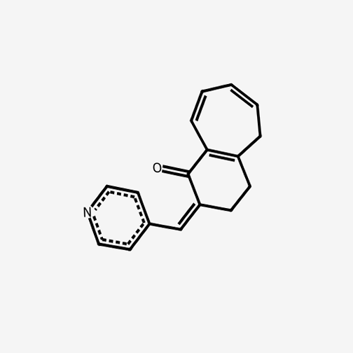 O=C1C(=Cc2ccncc2)CCC2=C1C=CC=CC2